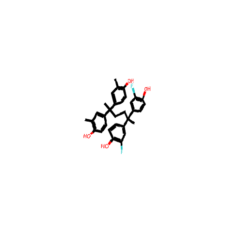 Cc1cc(C(C)(CCC(C)(c2ccc(O)c(F)c2)c2ccc(O)c(F)c2)c2ccc(O)c(C)c2)ccc1O